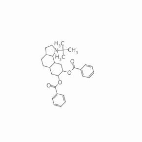 CC(C)(C)N1CCC2CCC3CC(OC(=O)c4ccccc4)C(OC(=O)c4ccccc4)CC3C21